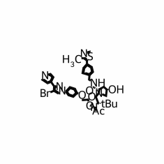 CC(=O)N(OCCOc1ccc(-n2cc(Br)c(-c3ccncc3)n2)cc1)[C@H](C(=O)N1C[C@H](O)C[C@H]1C(=O)NCc1ccc(-c2scnc2C)cc1)C(C)(C)C